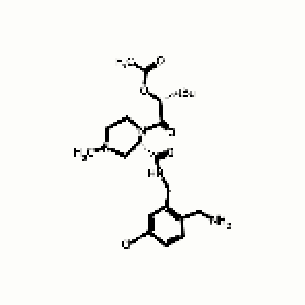 CN1CCN(C(=O)[C@H](OC(=O)C(F)(F)F)C(C)(C)C)[C@H](C(=O)NCc2cc(Cl)ccc2CN)C1